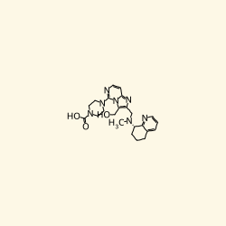 CN(Cc1nc2ccnc(N3CCN(C(=O)O)CC3)n2c1CO)[C@H]1CCCc2cccnc21